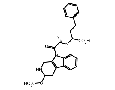 CCOC(=O)C(CCc1ccccc1)N[C@@H](C)C(=O)n1c2c(c3ccccc31)CC(OC(=O)O)NC2